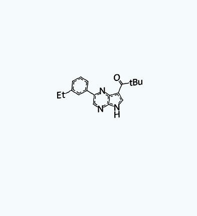 CCc1cccc(-c2cnc3[nH]cc(C(=O)C(C)(C)C)c3n2)c1